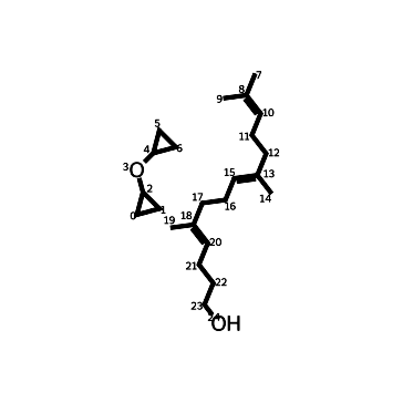 C1CC1OC1CC1.CC(C)=CCCC(C)=CCCC(C)=CCCCO